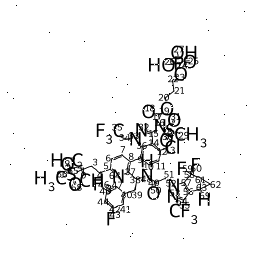 CC(C)(CCc1ccc(-c2ccc(Cl)c3c(N(C(=O)OCCCOP(=O)(O)O)S(C)(=O)=O)nn(CC(F)(F)F)c23)c([C@H](Cc2cc(F)cc(F)c2)NC(=O)Cn2nc(C(F)(F)F)c3c2C(F)(F)C2C[C@H]32)n1)S(C)(=O)=O